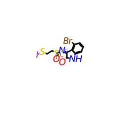 O=C1Nc2cccc(Br)c2/C1=N/[S@@+]([O-])CCSI